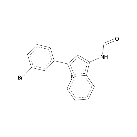 O=CNc1cc(-c2cccc(Br)c2)n2ccccc12